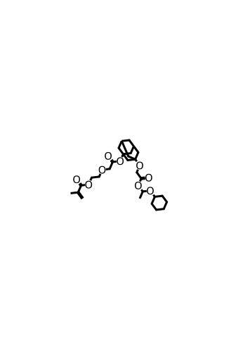 C=C(C)C(=O)OCCOCC(=O)OC12CC3CC(CC(OCC(=O)OC(C)OC4CCCCC4)(C3)C1)C2